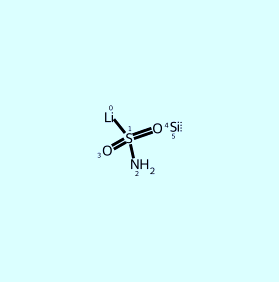 [Li][S](N)(=O)=O.[Si]